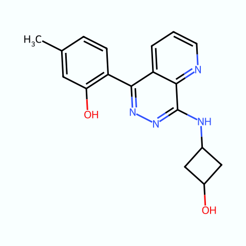 Cc1ccc(-c2nnc(NC3CC(O)C3)c3ncccc23)c(O)c1